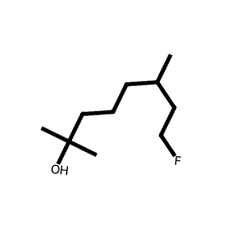 CC(CCF)CCCC(C)(C)O